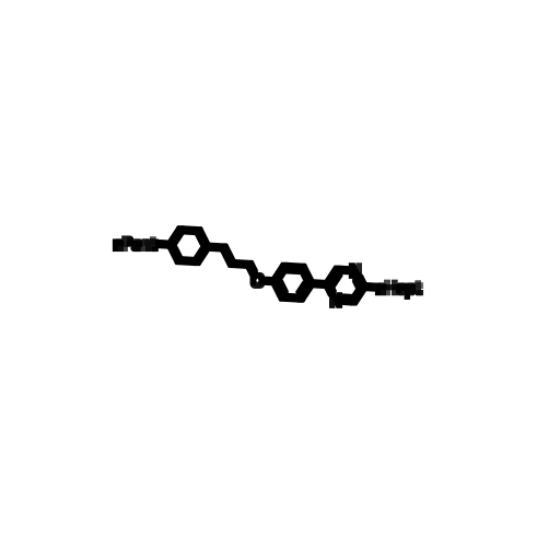 CCCCCCCc1cnc(-c2ccc(OCCCC3CCC(CCCCC)CC3)cc2)cn1